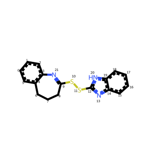 c1ccc2c(c1)CCCC(SSc1nc3ccccc3[nH]1)=N2